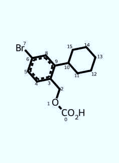 O=C(O)OCc1ccc(Br)cc1C1CCCCC1